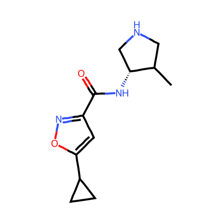 CC1CNC[C@H]1NC(=O)c1cc(C2CC2)on1